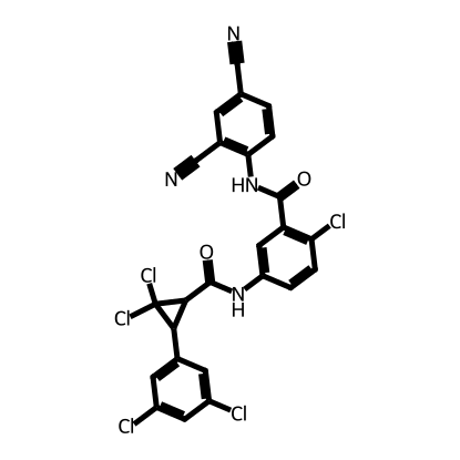 N#Cc1ccc(NC(=O)c2cc(NC(=O)C3C(c4cc(Cl)cc(Cl)c4)C3(Cl)Cl)ccc2Cl)c(C#N)c1